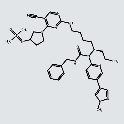 CCC[C@H](CCCCNc1ncc(C#N)c(N2CCC(N=S(C)(C)=O)C2)n1)N(C(=O)NCc1ccccc1)c1ccc(-c2cnn(C)c2)cn1